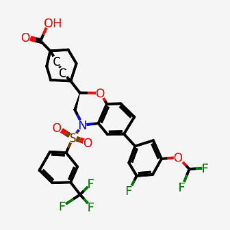 O=C(O)C12CCC([C@@H]3CN(S(=O)(=O)c4cccc(C(F)(F)F)c4)c4cc(-c5cc(F)cc(OC(F)F)c5)ccc4O3)(CC1)CC2